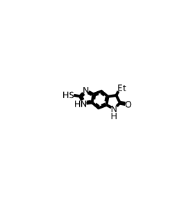 CCC1C(=O)Nc2cc3[nH]c(S)nc3cc21